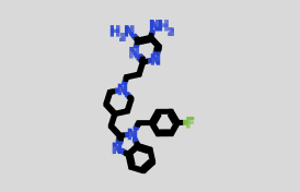 Nc1cnc(CCN2CCC(Cc3nc4ccccc4n3Cc3ccc(F)cc3)CC2)nc1N